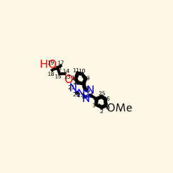 COc1ccc(-c2nc3c4cccc(OCCC(C)(C)O)c4ncn3n2)cc1